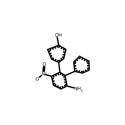 Nc1ccc([N+](=O)[O-])c(-c2ccc(O)cc2)c1-c1ccccc1